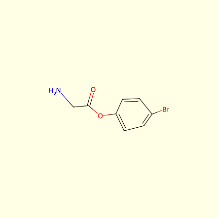 NCC(=O)Oc1ccc(Br)cc1